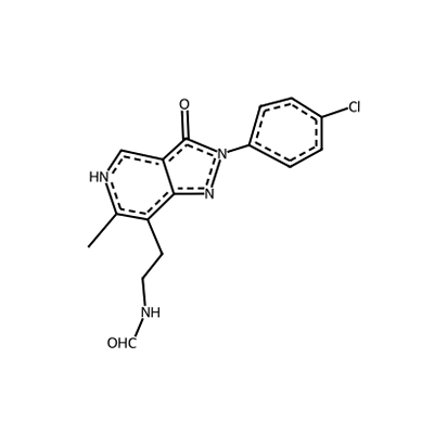 Cc1[nH]cc2c(=O)n(-c3ccc(Cl)cc3)nc-2c1CCNC=O